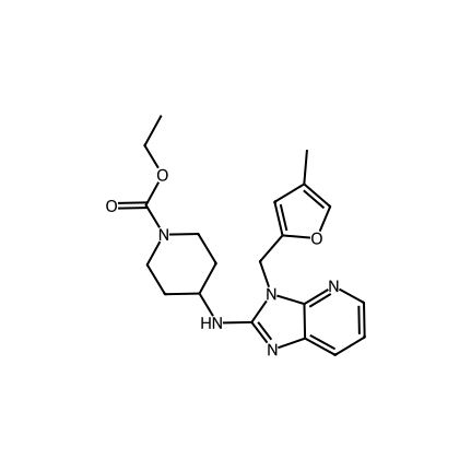 CCOC(=O)N1CCC(Nc2nc3cccnc3n2Cc2cc(C)co2)CC1